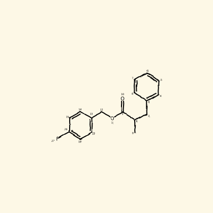 CC(Cc1ccccc1)C(=O)OCc1ccc(I)cc1